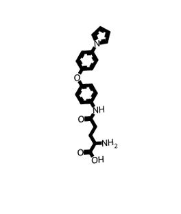 NC(CCC(=O)Nc1ccc(Oc2ccc(-n3cccc3)cc2)cc1)C(=O)O